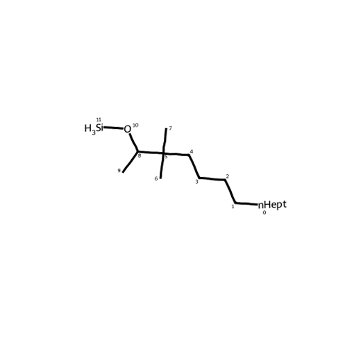 CCCCCCCCCCCC(C)(C)C(C)O[SiH3]